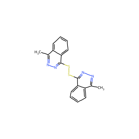 Cc1nnc(SSc2nnc(C)c3ccccc23)c2ccccc12